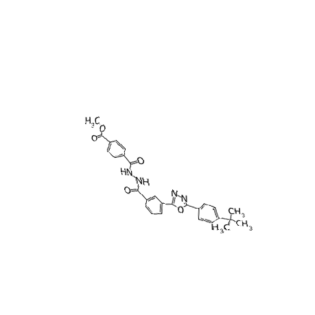 COC(=O)c1ccc(C(=O)NNC(=O)c2cccc(-c3nnc(-c4ccc(C(C)(C)C)cc4)o3)c2)cc1